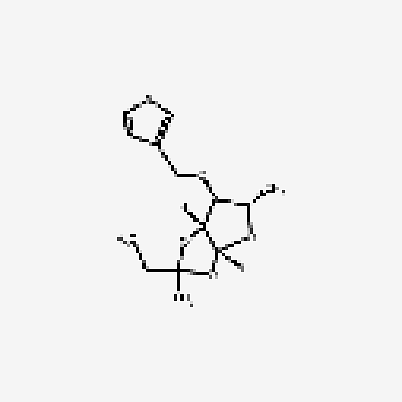 CCC1(C)O[C@H]2O[C@H](C)[C@H](OCc3ccsc3)[C@H]2O1